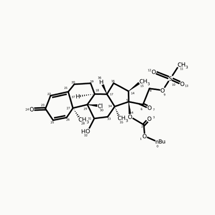 CCCCOC(=O)O[C@]1(C(=O)COS(C)(=O)=O)[C@H](C)C[C@H]2[C@@H]3CCC4=CC(=O)C=C[C@]4(C)[C@@]3(Cl)C(O)C[C@@]21C